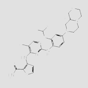 NC(=O)c1sccc1Nc1nc(Nc2ccc(N3CCN4CCOC[C@@H]4C3)cc2OC(F)F)ncc1Cl